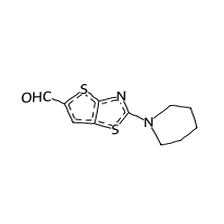 O=Cc1cc2sc(N3CCCCC3)nc2s1